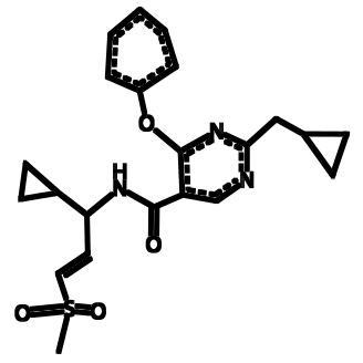 CS(=O)(=O)C=CC(NC(=O)c1cnc(CC2CC2)nc1Oc1ccccc1)C1CC1